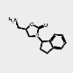 NCC1CN(C2CCc3ccccc32)C(=O)O1